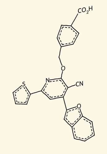 N#Cc1c(-c2cc3ccccc3o2)cc(-c2cccs2)nc1OCc1ccc(C(=O)O)cc1